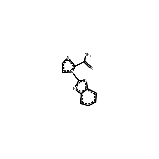 NC(=S)c1nccn1-c1nc2ccccc2s1